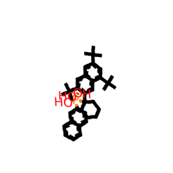 CC(C)(C)c1cc(C(C)(C)C)c2cc(C3(P(O)(O)(O)c4ccc5ccccc5c4)CCCCC3)c(C(C)(C)C)cc2c1